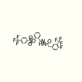 O=C(Cc1ccc(F)c(C(F)(F)F)c1)NN=Cc1ccccc1OS(=O)(=O)c1ccc(C(F)(F)F)cc1